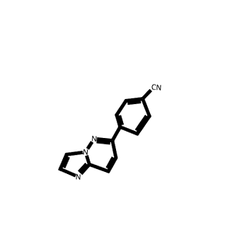 N#Cc1ccc(-c2ccc3nccn3n2)cc1